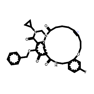 O=C1NCc2ccc(F)cc2OCC/C=C\CCCC(=O)N2CN(C3CC3)C(=O)c3c(OCc4ccccc4)c(=O)c1cn32